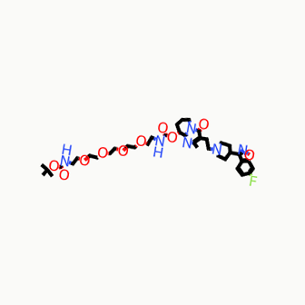 Cc1nc2n(c(=O)c1CCN1CCC(c3noc4cc(F)ccc34)CC1)CCCC2OC(=O)NCCOCCOCCOCCOCCNC(=O)OC(C)(C)C